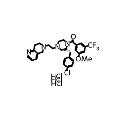 COc1cc(C(=O)N2CCN(CCN3CCc4ncccc4C3)C[C@H]2Cc2ccc(Cl)cc2)cc(C(F)(F)F)c1.Cl.Cl.Cl